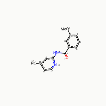 COc1cccc(C(=O)Nc2cc(C#N)ccn2)c1